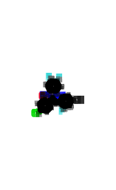 N#Cc1ccc(CC2(c3ccc(Cl)cc3O)Nc3cc(F)c(F)cc3N2)c(F)c1